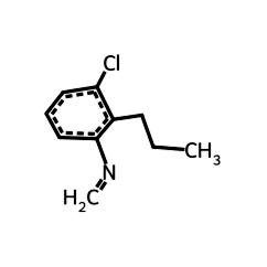 C=Nc1cccc(Cl)c1CCC